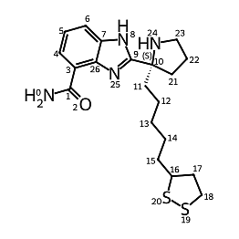 NC(=O)c1cccc2[nH]c([C@]3(CCCCCC4CCSS4)CCCN3)nc12